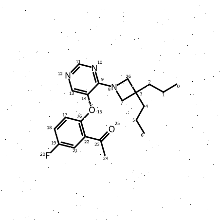 CCCC1(CCC)CN(c2ncncc2Oc2ccc(F)cc2C(C)=O)C1